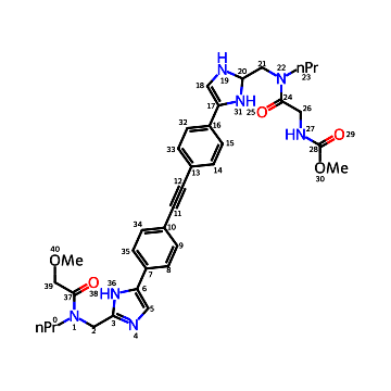 CCCN(Cc1ncc(-c2ccc(C#Cc3ccc(C4=CNC(CN(CCC)C(=O)CNC(=O)OC)N4)cc3)cc2)[nH]1)C(=O)COC